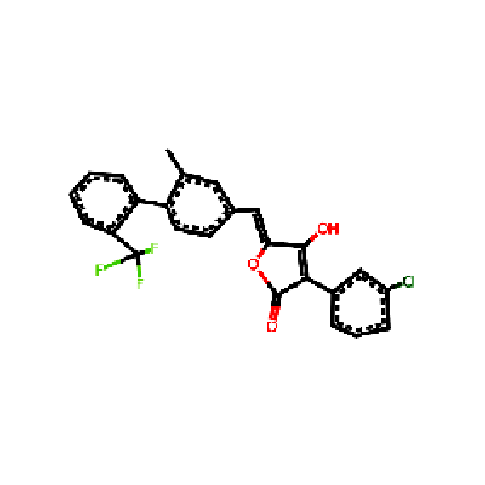 Cc1cc(/C=C2\OC(=O)C(c3cccc(Cl)c3)=C2O)ccc1-c1ccccc1C(F)(F)F